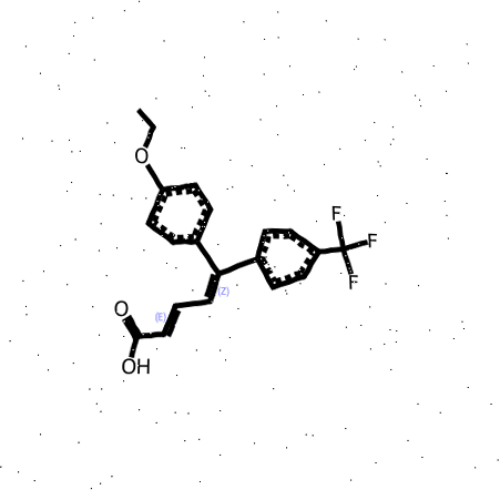 CCOc1ccc(/C(=C\C=C\C(=O)O)c2ccc(C(F)(F)F)cc2)cc1